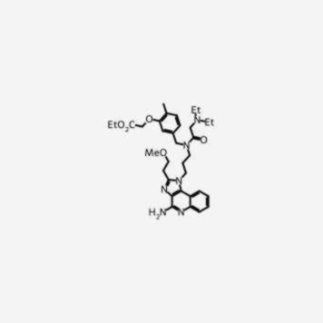 CCOC(=O)COc1cc(CN(CCCn2c(CCOC)nc3c(N)nc4ccccc4c32)C(=O)CN(CC)CC)ccc1C